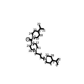 CC(C)C1CCN(CCCN2CCN(C(=O)N3CCC(C(C)C)CC3)CC2)CC1